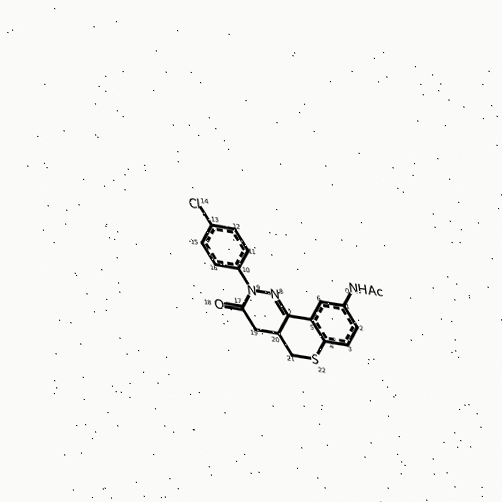 CC(=O)Nc1ccc2c(c1)C1=NN(c3ccc(Cl)cc3)C(=O)CC1CS2